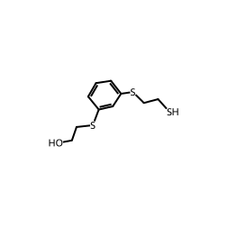 OCCSc1cccc(SCCS)c1